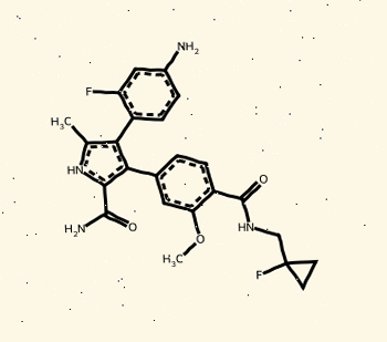 COc1cc(-c2c(C(N)=O)[nH]c(C)c2-c2ccc(N)cc2F)ccc1C(=O)NCC1(F)CC1